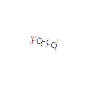 CC1c2cnc(C(=O)O)cc2CCN1c1cc(F)cc(F)c1